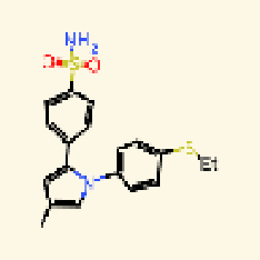 CCSc1ccc(-n2cc(C)cc2-c2ccc(S(N)(=O)=O)cc2)cc1